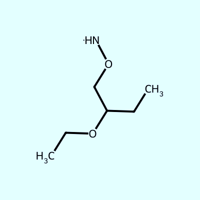 CCOC(CC)CO[NH]